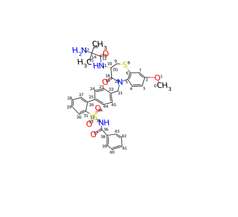 COc1ccc2c(c1)SC[C@@H](NC(=O)C(C)(C)N)C(=O)N2Cc1ccc(-c2ccccc2S(=O)(=O)NC(=O)c2ccccc2)cc1